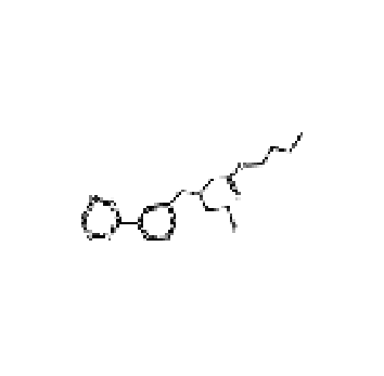 CCCCOC(=O)CN(CCF)Cc1cccc(-c2nncnn2)c1